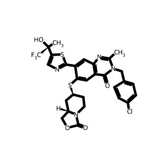 Cc1nc2cc(-c3ncc([C@@](C)(O)C(F)(F)F)s3)c(S[C@H]3CCN4C(=O)OC[C@@H]4C3)cc2c(=O)n1Cc1ccc(Cl)cc1